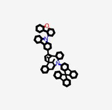 CC1C2=Cc3ccccc3C13C=CC(c1ccc4c(c1)c1ccccc1n4-c1cccc4oc5ccccc5c14)=C(c1ccccc1N2c1ccc2c(c1)C1(c4ccccc4-c4ccccc41)c1ccccc1-2)C3C